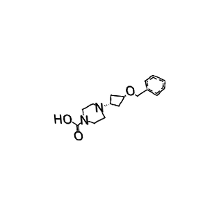 O=C(O)N1CCN([C@H]2C[C@@H](OCc3ccccc3)C2)CC1